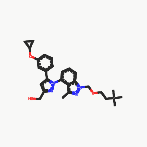 Cc1nn(COCC[Si](C)(C)C)c2cccc(-n3nc(CO)cc3-c3cccc(OC4CC4)c3)c12